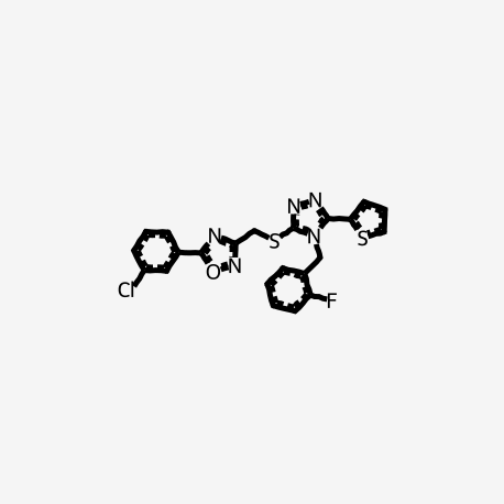 Fc1ccccc1Cn1c(SCc2noc(-c3cccc(Cl)c3)n2)nnc1-c1cccs1